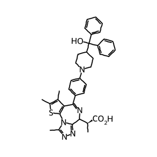 Cc1sc2c(c1C)C(c1ccc(N3CCC(C(O)(c4ccccc4)c4ccccc4)CC3)cc1)=NC([C@H](C)C(=O)O)c1nnc(C)n1-2